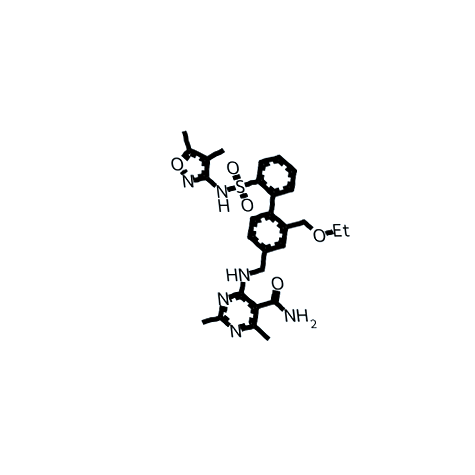 CCOCc1cc(CNc2nc(C)nc(C)c2C(N)=O)ccc1-c1ccccc1S(=O)(=O)Nc1noc(C)c1C